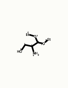 CCOC(OCC)C(N)CO